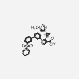 Cn1cc([C@@H]2C[C@H]2c2c(C(=O)O)cnn2-c2cccc(-c3cccc(S(=O)(=O)N4CCCCC4)c3)c2)nn1